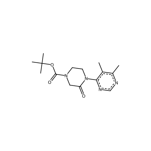 Cc1ncnc(N2CCN(C(=O)OC(C)(C)C)CC2=O)c1C